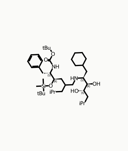 CC(C)CC(CN[C@@H](CC1CCCCC1)[C@@H](O)[C@@H](O)CC(C)C)C[C@@H](O[Si](C)(C)C(C)(C)C)[C@H](Cc1ccccc1)NC(=O)OC(C)(C)C